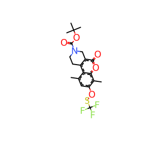 Cc1c(OSC(F)(F)F)cc(C)c2c3c(c(=O)oc12)CN(C(=O)OC(C)(C)C)CC3